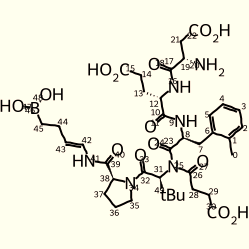 Cc1ccccc1C[C@H](NC(=O)[C@H](CCC(=O)O)NC(=O)[C@@H](N)CC(=O)O)C(=O)N(C(=O)CCC(=O)O)[C@H](C(=O)N1CCC[C@H]1C(=O)NC=CCCB(O)O)C(C)(C)C